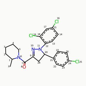 CC1CCCCN1C(=O)C1=NN(c2ccc(Cl)cc2Cl)C(c2ccc(Cl)cc2)C1